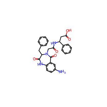 Nc1ccc2c(c1)C(=O)N(CC(=O)NC(CC(=O)O)c1ccccc1)C(Cc1ccccc1)C(=O)N2